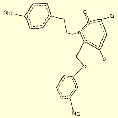 O=Cc1ccc(CCn2c(COc3cccc(N=O)c3)c(Cl)cc(Cl)c2=O)cc1